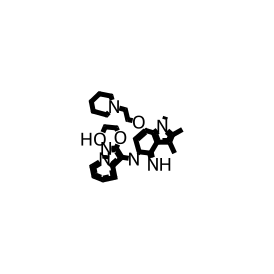 Cc1c2c(n(C)c1C)C(OCCN1CCCCC1)=CC(=Nc1c(OCCO)nn3ccccc13)C2=N